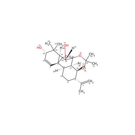 C=C(C)[C@@H]1CC[C@H]2[C@]34C=C[C@H](O)C(C)(C)[C@H]3[C@H](O)C3(OC4)OC(C)(C)O[C@H]1[C@@]23C(C)=O